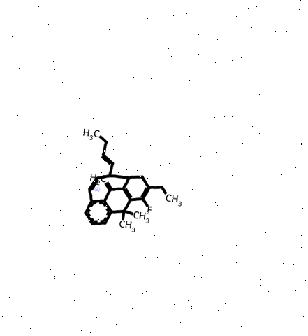 C=C1C2=C3C(F)=C(CC)CC2C(C=CCC)/C=C\c2cccc(c21)C3(C)C